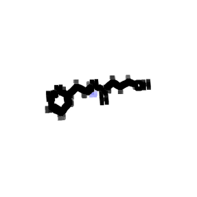 OCCCN/N=C/Cc1cccnn1